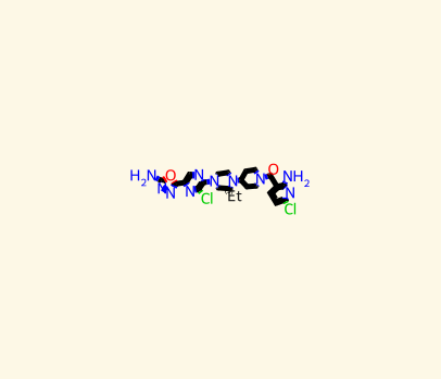 CC[C@H]1CN(c2ncc(-c3nnc(N)o3)nc2Cl)CCN1C1CCN(C(=O)c2ccc(Cl)nc2N)CC1